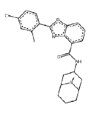 Cc1cc(Cl)ccc1-c1nc2c(C(=O)NC3CC4CCCC(C3)N4C)cccc2o1